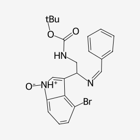 CC(C)(C)OC(=O)NCC(/N=C\c1ccccc1)C1=C[NH+]([O-])c2cccc(Br)c21